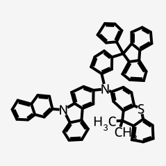 CC1(C)c2ccccc2Sc2ccc(N(c3cccc(C4(c5ccccc5)c5ccccc5-c5ccccc54)c3)c3ccc4c(c3)c3ccccc3n4-c3ccc4ccccc4c3)cc21